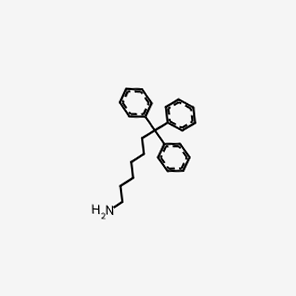 NCCCCCCC(c1ccccc1)(c1ccccc1)c1ccccc1